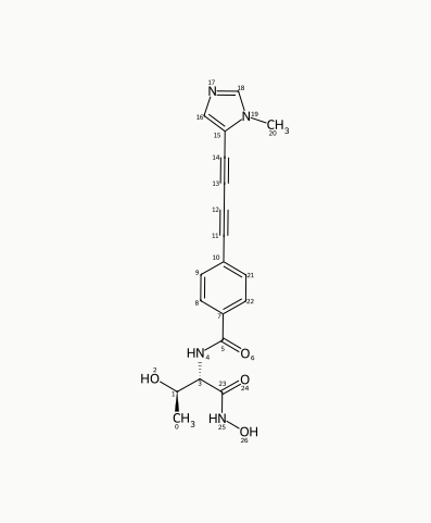 C[C@@H](O)[C@H](NC(=O)c1ccc(C#CC#Cc2cncn2C)cc1)C(=O)NO